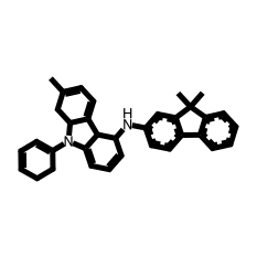 CC1=CC=C2C3C(=CC=CC3Nc3ccc4c(c3)C(C)(C)c3ccccc3-4)N(C3=CC=CCC3)C2C1